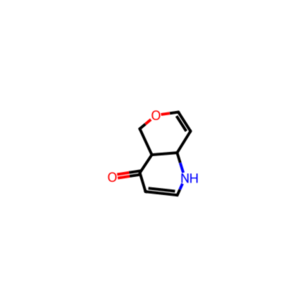 O=C1C=CNC2C=COCC12